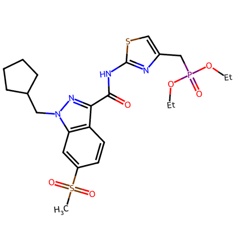 CCOP(=O)(Cc1csc(NC(=O)c2nn(CC3CCCC3)c3cc(S(C)(=O)=O)ccc23)n1)OCC